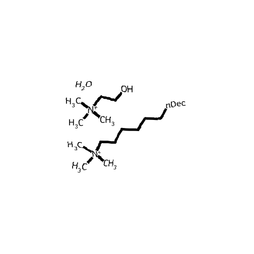 CCCCCCCCCCCCCCCC[N+](C)(C)C.C[N+](C)(C)CCO.O